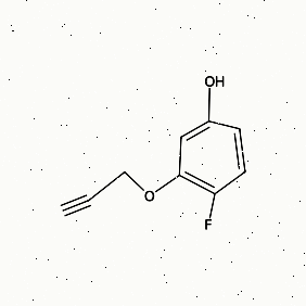 C#CCOc1cc(O)ccc1F